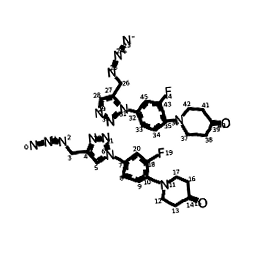 [N-]=[N+]=NCc1cn(-c2ccc(N3CCC(=O)CC3)c(F)c2)nn1.[N-]=[N+]=NCc1cnnn1-c1ccc(N2CCC(=O)CC2)c(F)c1